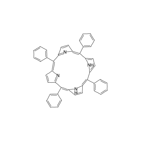 C1=Cc2nc1c(-c1ccccc1)c1nc(c(-c3ccccc3)c3ccc([nH]3)c(-c3ccccc3)c3ccc([nH]3)c2-c2ccccc2)C=C1